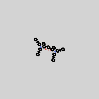 CC(C)(c1ccccc1)c1ccc(N(c2ccc(C(C)(C)c3ccccc3)cc2)c2cc3oc4c(ccc5c4oc4cc(N(c6ccc(C(C)(C)c7ccccc7)cc6)c6ccc(C(C)(C)c7ccccc7)cc6)c6ccccc6c45)c3c3ccccc23)cc1